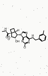 CNC(=O)[C@@]12CC[C@@H]1[C@@H](n1cnc3c(NCc4cccc(C)c4)nc(Cl)nc31)[C@H](O)[C@@H]2O